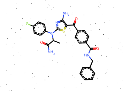 CC(C(N)=O)N(c1ccc(F)cc1)c1nc(N)c(C(=O)c2ccc(C(=O)NCc3ccccc3)cc2)s1